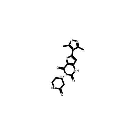 Cc1noc(C)c1-c1cc2[nH]c(=O)n([C@H]3CCNC(=O)C3)c(=O)c2s1